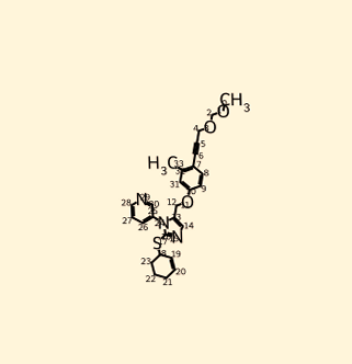 COCOCC#Cc1ccc(OCc2cnc(SC3C=CCCC3)n2-c2cccnc2)cc1C